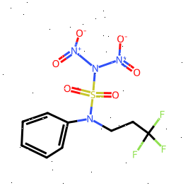 O=[N+]([O-])N([N+](=O)[O-])S(=O)(=O)N(CCC(F)(F)F)c1ccccc1